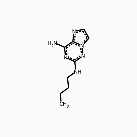 CCCCNc1nc(N)c2nccn2n1